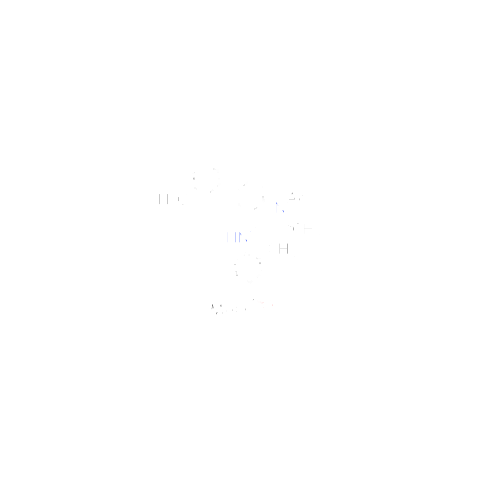 COC(=O)c1ccc(N[C@@H]2C[C@H](C)N(C(C)=O)c3ccc(-c4cccc(C)c4)cc32)c(C)c1